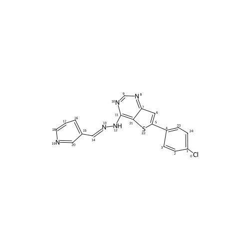 Clc1ccc(-c2cc3ncnc(NN=Cc4cccnc4)c3s2)cc1